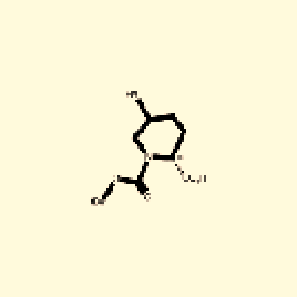 CC(C)(C)OC(=O)N1CC(S)CC[C@@H]1C(=O)O